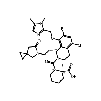 Cc1nnc(COc2c(F)cc(Cl)c3c2[C@@H](CCN2CC4(CC4)CC2=O)N(C(=O)[C@@H]2CCCC[C@]2(C)C(=O)O)CC3)n1C